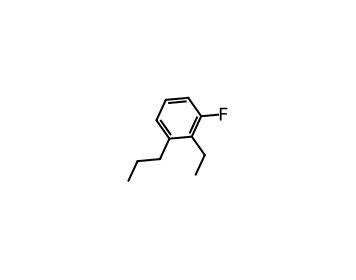 CCCc1cccc(F)c1CC